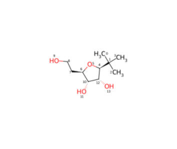 CC(C)(C)[C@@H]1O[C@H](CCO)[C@@H](O)[C@H]1O